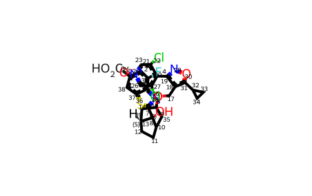 O=C(O)c1cc(F)c2nc([C@]3(O)C4CC[C@H]3CC(OCc3c(-c5c(Cl)c[n+]([O-])cc5Cl)noc3C3CC3)C4)sc2c1